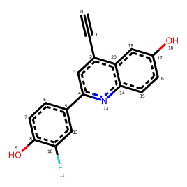 C#Cc1cc(-c2ccc(O)c(F)c2)nc2ccc(O)cc12